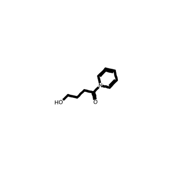 O=C(CCCO)N1C=C=CC=C1